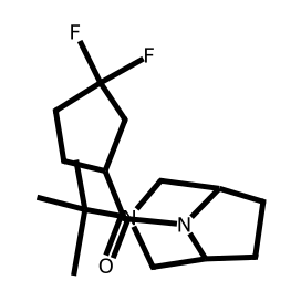 CC(C)(C)N1CC2CCC(C1)N2C(=O)C1CCC(F)(F)C1